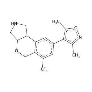 Cc1noc(C)c1-c1cc2c(c(C(F)(F)F)c1)COC1CNCC21